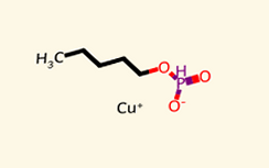 CCCCCO[PH](=O)[O-].[Cu+]